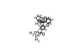 CCN(CC)C(=O)c1ccc2c(c1)Oc1ccccc1C2=C1CC2CCC(C1)N2C(C)SC